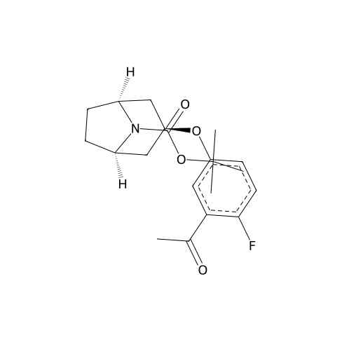 CC(=O)c1cc(O[C@H]2C[C@H]3CC[C@@H](C2)N3C(=O)OC(C)(C)C)ccc1F